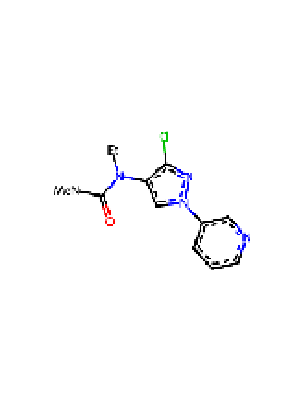 CCN(C(=O)NC)c1cn(-c2cccnc2)nc1Cl